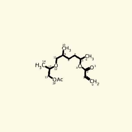 C=CC(=O)OC(C)CCC(C)COC(C)COC(C)=O